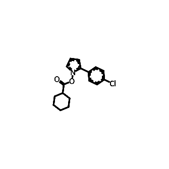 O=C(On1cccc1-c1ccc(Cl)cc1)C1CCCCC1